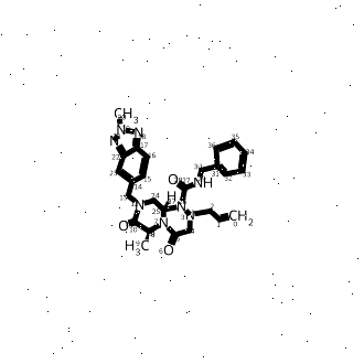 C=CCN1CC(=O)N2[C@@H](C)C(=O)N(Cc3ccc4nn(C)nc4c3)C[C@@H]2N1C(=O)NCc1ccccc1